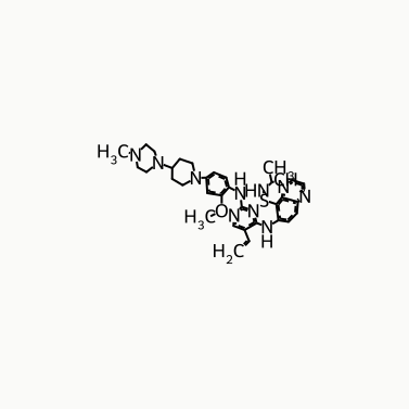 C=Cc1cnc(Nc2ccc(N3CCC(N4CCN(C)CC4)CC3)cc2OC)nc1Nc1ccc2nccnc2c1SNC(C)C